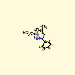 CC(NC(CCC#N)c1ccccc1)C(=O)O